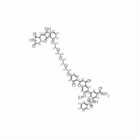 CCOc1cc2oc(-c3ccc(OCCOCCOCCOCCOC4CC=CC5=C4C(=O)/C(=C\C4CCC(=O)NC4=O)C5O)cc3Cl)cc(=O)c2cc1-c1cc(NS(=O)(=O)c2ccccc2)cc(C(N)=O)c1